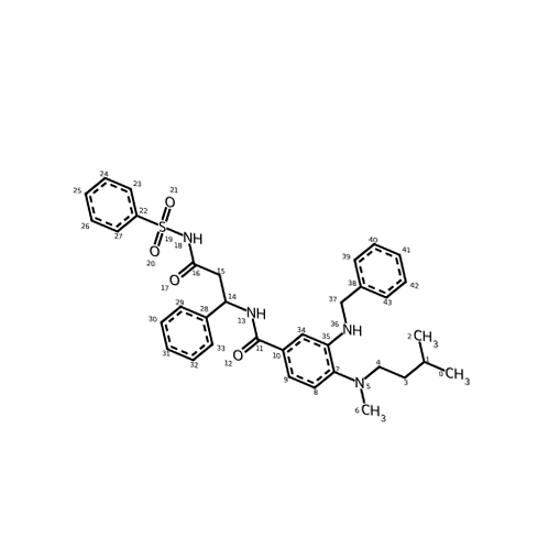 CC(C)CCN(C)c1ccc(C(=O)NC(CC(=O)NS(=O)(=O)c2ccccc2)c2ccccc2)cc1NCc1ccccc1